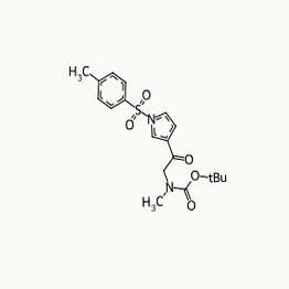 Cc1ccc(S(=O)(=O)n2ccc(C(=O)CN(C)C(=O)OC(C)(C)C)c2)cc1